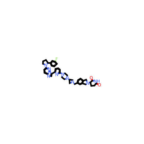 O=C1CCC(N2Cc3ccc(CN4CC(N5CCN(c6cccc(-c7cnc8ccc(N9CCCC9c9cccc(F)c9)nn78)n6)CC5)C4)cc3C2)C(=O)N1